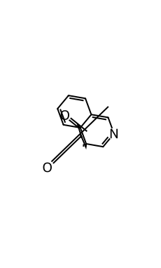 O=C1C=C2C=NC=C3C=CC=CC32C(=O)C1